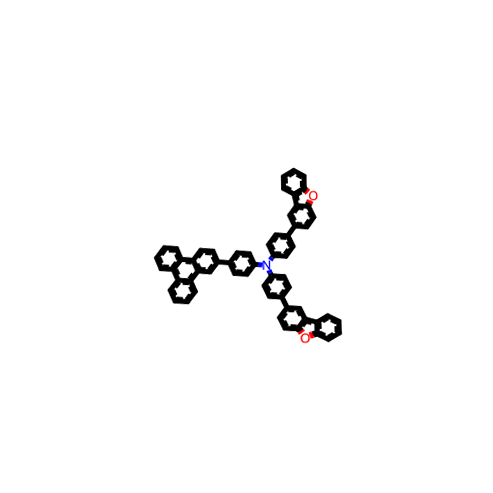 c1ccc2c(c1)oc1ccc(-c3ccc(N(c4ccc(-c5ccc6oc7ccccc7c6c5)cc4)c4ccc(-c5ccc6c7ccccc7c7ccccc7c6c5)cc4)cc3)cc12